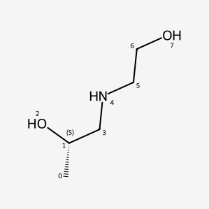 C[C@H](O)CNCCO